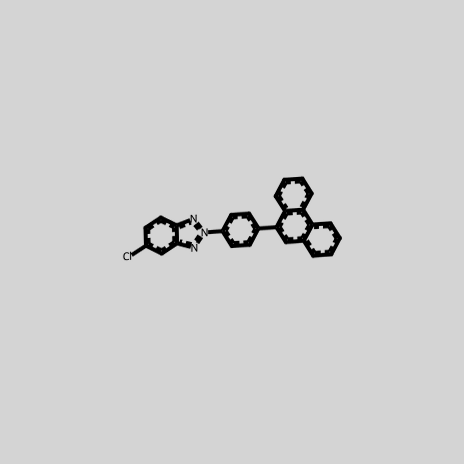 Clc1ccc2nn(-c3ccc(-c4cc5ccccc5c5ccccc45)cc3)nc2c1